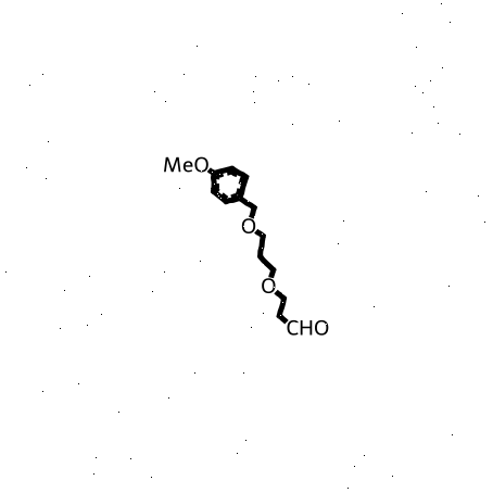 COc1ccc(COCCCOCCC=O)cc1